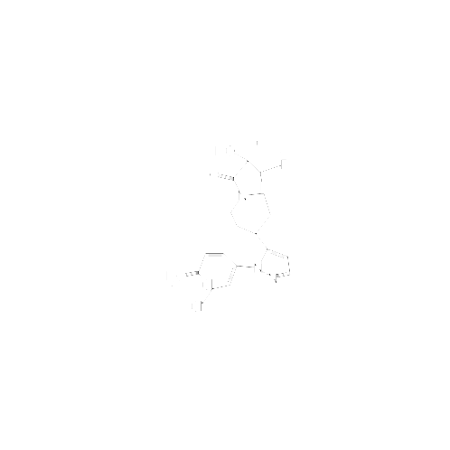 C=C(Cl)/C=C\C(=C/CCl)n1nccc1C1CCN(C(=O)[C@@](C)(O)C(F)F)CC1